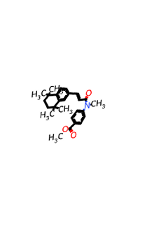 COC(=O)c1ccc(N(C)C(=O)C=Cc2ccc3c(c2)C(C)(C)CCC3(C)C)cc1